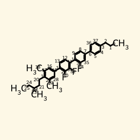 CCCc1ccc(-c2ccc(-c3ccc(-c4cc(C)c(CC[C@@H](C)CC)c(C)c4)c(F)c3F)c(F)c2)cc1